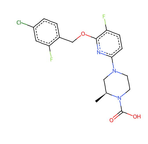 C[C@H]1CN(c2ccc(F)c(OCc3ccc(Cl)cc3F)n2)CCN1C(=O)O